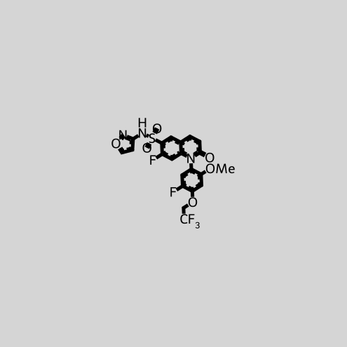 COc1cc(OCC(F)(F)F)c(F)cc1-n1c(=O)ccc2cc(S(=O)(=O)Nc3ccon3)c(F)cc21